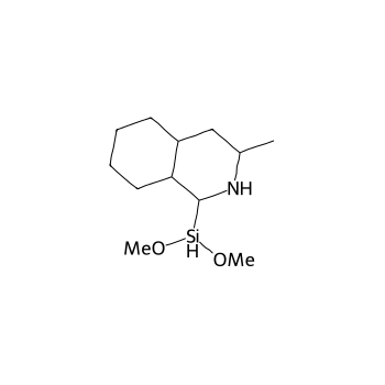 CO[SiH](OC)C1NC(C)CC2CCCCC21